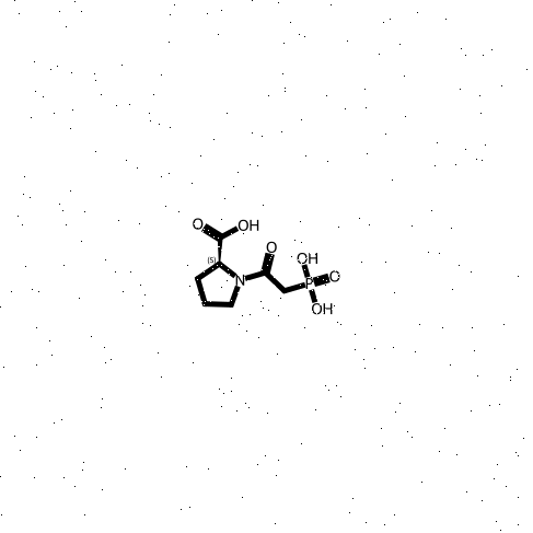 O=C(O)[C@@H]1CCCN1C(=O)CP(=O)(O)O